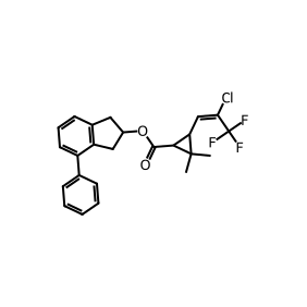 CC1(C)C(/C=C(/Cl)C(F)(F)F)C1C(=O)OC1Cc2cccc(-c3ccccc3)c2C1